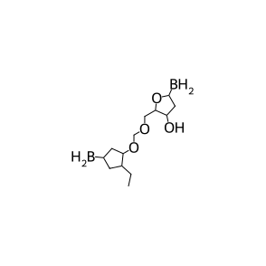 BC1CC(CC)C(OCOCC2OC(B)CC2O)C1